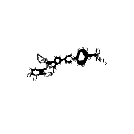 NC(=O)c1ccc(N2CCC(c3ccc4c(c3)C(=O)N(C3CCC(=O)NC3=O)C4=O)CC2)cc1